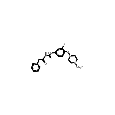 O=C(Cc1ccccc1)NC(=S)Nc1ccc(ON2CCN(C(=O)O)CC2)c(F)c1